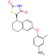 Cc1cc([N+](=O)[O-])ccc1Oc1ccc2c(c1)CCC[C@H]2C1SC(=O)NC1=O